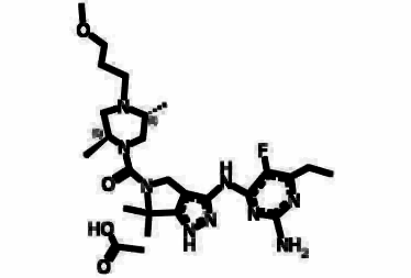 CC(=O)O.CCc1nc(N)nc(Nc2n[nH]c3c2CN(C(=O)N2C[C@@H](C)N(CCCOC)C[C@@H]2C)C3(C)C)c1F